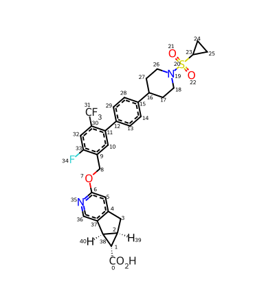 O=C(O)[C@H]1[C@@H]2Cc3cc(OCc4cc(-c5ccc(C6CCN(S(=O)(=O)C7CC7)CC6)cc5)c(C(F)(F)F)cc4F)ncc3[C@@H]21